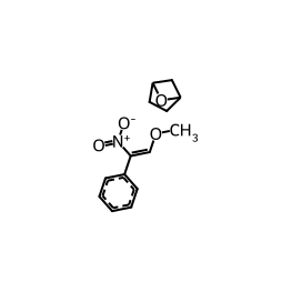 C1CC2CC1O2.COC=C(c1ccccc1)[N+](=O)[O-]